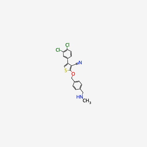 CNCc1ccc(COc2scc(-c3ccc(Cl)c(Cl)c3)c2C#N)cc1